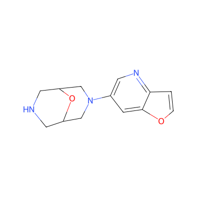 c1cc2ncc(N3CC4CNCC(C3)O4)cc2o1